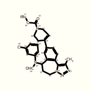 Cc1nnn2c1-c1ccc(C3=CCN(C(=O)OC(C)(C)C)CC3)cc1C(N(C=O)c1cccc(Cl)c1)CC2